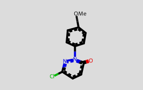 COc1ccc(-n2nc(Cl)ccc2=O)cc1